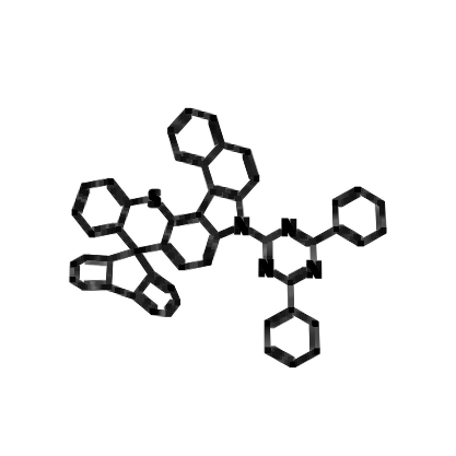 c1ccc(-c2nc(-c3ccccc3)nc(-n3c4ccc5c(c4c4c6ccccc6ccc43)Sc3ccccc3C53c4ccccc4-c4ccccc43)n2)cc1